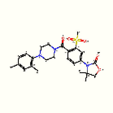 Cc1ccc(N2CCN(C(=O)c3ccc(N4C(=O)OCC4(C)C)cc3S(C)(=O)=O)CC2)c(C)c1